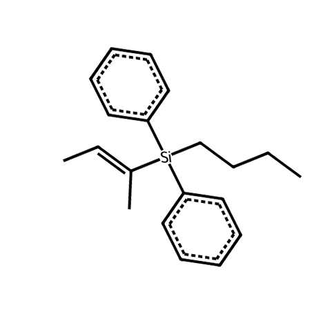 CC=C(C)[Si](CCCC)(c1ccccc1)c1ccccc1